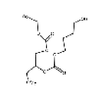 COCC(COC(=O)OCC(C)=O)OC(=O)OCCCCO